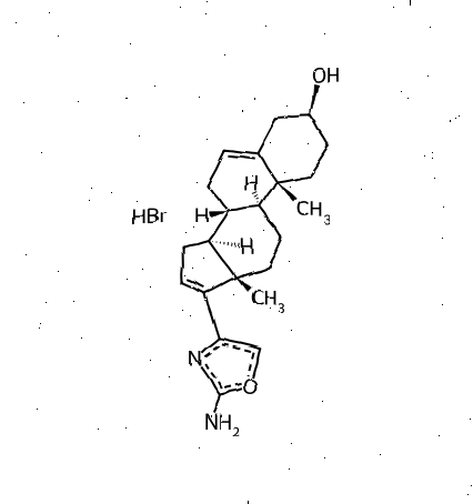 Br.C[C@]12CC[C@H](O)CC1=CC[C@@H]1[C@@H]2CC[C@]2(C)C(c3coc(N)n3)=CC[C@@H]12